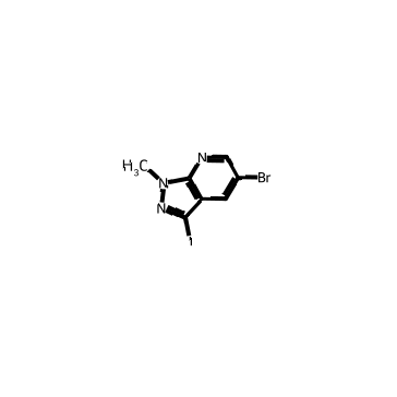 Cn1nc(I)c2cc(Br)cnc21